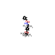 CC(C)(CNC(=O)OCc1ccccc1)c1ccc(B2OC(C)(C)C(C)(C)O2)cc1